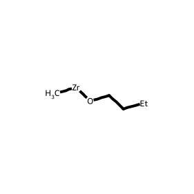 CCCC[O][Zr][CH3]